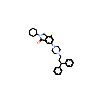 O=C1c2cc(N3CCN(CCC(c4ccccc4)c4ccccc4)CC3)cc(F)c2CN1C1CCCCC1